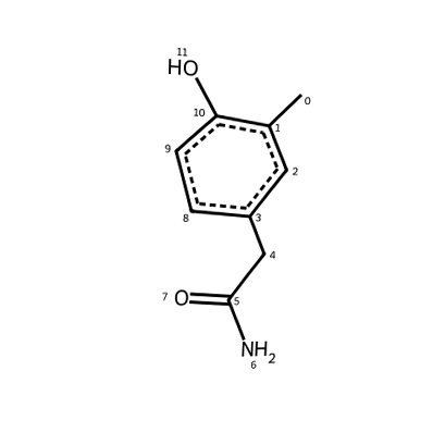 Cc1cc(CC(N)=O)ccc1O